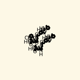 COc1cc(CC(=O)N(C)Cc2c[nH]c(CC(NC(C)=O)C(=O)O)n2)ccc1NC(=O)Nc1ccccc1C.COc1cc(CC(=O)N(C)Cc2coc(CC(NC(=O)c3c(Cl)cccc3Cl)C(=O)O)n2)ccc1NC(=O)Nc1ccccc1C